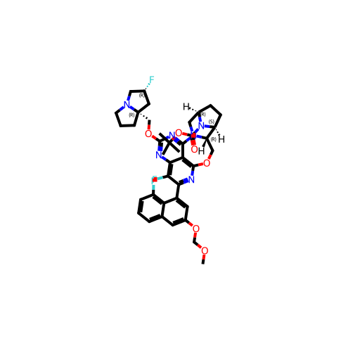 COCOc1cc(-c2nc3c4c(nc(OC[C@]56CCCN5C[C@H](F)C6)nc4c2F)N2C[C@H]4CC[C@@H]([C@@H]2CO3)N4C(=O)OC(C)(C)C)c2c(F)cccc2c1